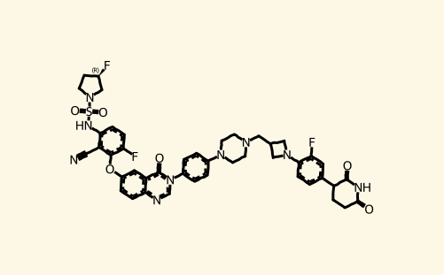 N#Cc1c(NS(=O)(=O)N2CC[C@@H](F)C2)ccc(F)c1Oc1ccc2ncn(-c3ccc(N4CCN(CC5CN(c6ccc(C7CCC(=O)NC7=O)cc6F)C5)CC4)cc3)c(=O)c2c1